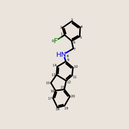 Fc1ccccc1CNc1ccc2c(c1)Cc1ccccc1-2